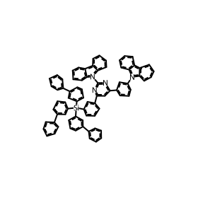 c1ccc(-c2cccc([Si](c3cccc(-c4ccccc4)c3)(c3cccc(-c4ccccc4)c3)c3cccc(-c4cc(-c5cccc(-n6c7ccccc7c7ccccc76)c5)nc(-n5c6ccccc6c6ccccc65)n4)c3)c2)cc1